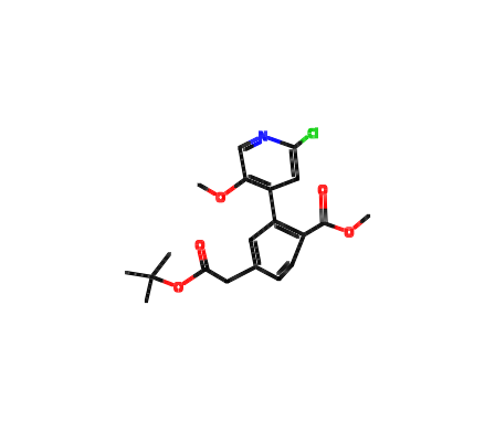 COC(=O)c1ccc(CC(=O)OC(C)(C)C)cc1-c1cc(Cl)ncc1OC